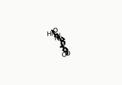 CC(=O)Nc1cnc(N2CCC3(CCN(C(C)c4ccc5c(c4)OCO5)C3)C2)nc1